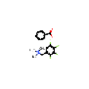 C[N+](C)(C)Cc1cc(F)c(F)c(F)c1F.O=C([O-])c1ccccc1